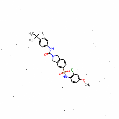 COc1ccc(NS(=O)(=O)c2ccc3c(c2)CN(C(=O)Nc2ccc(C(C)(C)C)cc2)C3)c(F)c1